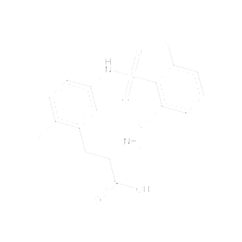 Cc1ccc(NS(=O)(=O)c2c(Cl)cccc2Cl)cc1C[C@H](N)C(=O)O